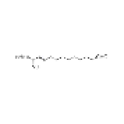 CCCCCCC(/C=C/CCCCCCCCC=O)N=O